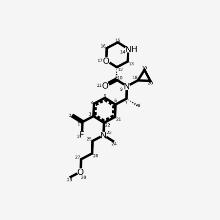 C=C(F)c1ccc([C@@H](C)N(C(=O)[C@H]2CNCCO2)C2CC2)cc1N(C)CCCOC